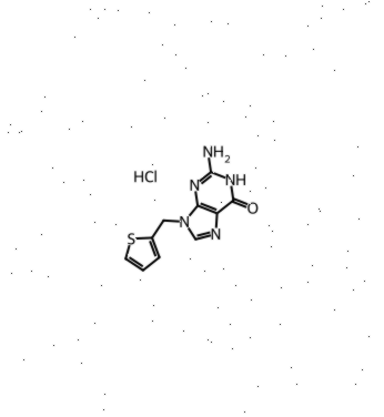 Cl.Nc1nc2c(ncn2Cc2cccs2)c(=O)[nH]1